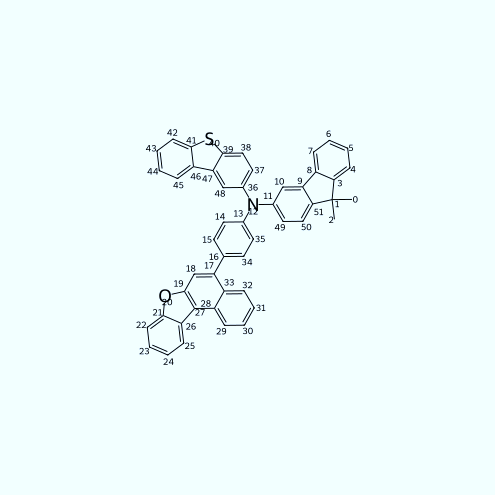 CC1(C)c2ccccc2-c2cc(N(c3ccc(-c4cc5oc6ccccc6c5c5ccccc45)cc3)c3ccc4sc5ccccc5c4c3)ccc21